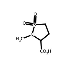 CN1C(C(=O)O)CCS1(=O)=O